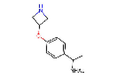 CC(=O)NC(C)c1ccc(OC2CNC2)cc1